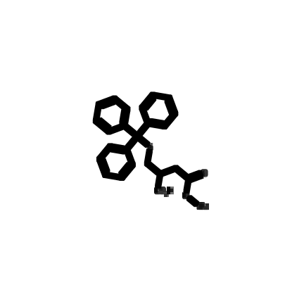 CC(C)(C)OC(=O)CC(CSC(c1ccccc1)(c1ccccc1)c1ccccc1)C(=O)O